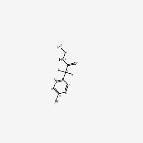 CC(C)CNC(=O)C(C)(C)c1ccc(Br)cn1